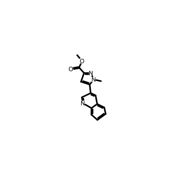 COC(=O)c1cc(-c2cnc3ccccc3c2)n(C)n1